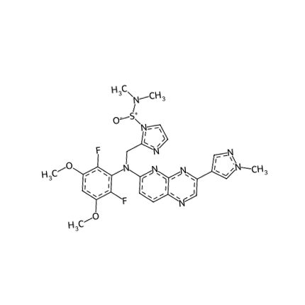 COc1cc(OC)c(F)c(N(Cc2nccn2[S+]([O-])N(C)C)c2ccc3ncc(-c4cnn(C)c4)nc3n2)c1F